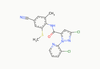 CSc1cc(C#N)cc(C)c1NC(=O)c1cc(Cl)nn1-c1ncccc1Cl